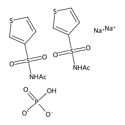 CC(=O)NS(=O)(=O)c1ccsc1.CC(=O)NS(=O)(=O)c1ccsc1.O=P([O-])([O-])O.[Na+].[Na+]